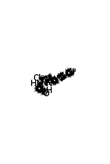 COc1cc(N2CCN(C3CCN(C)CC3)CC2)ccc1Nc1ncc(Cl)c(Nc2cccc(P(C)(C)=O)c2)n1